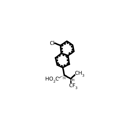 C[C@H]([C@H](C(=O)O)c1ccc2c(Cl)cccc2c1)C(F)(F)F